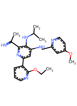 CCOc1ncccc1-c1cc(NCc2cc(OC)ccn2)c(NC(C)C)c(C(C)=N)n1